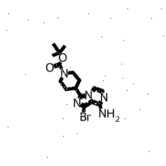 CC(C)(C)OC(=O)N1CCC(c2nc(Br)c3c(N)nccn23)CC1